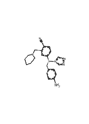 N#Cc1ccc(N(Cc2ccc(N)cc2)n2cnnc2)cc1CN1CCCCC1